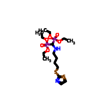 CCOP(=O)(OCC)C(NCCCCSc1nccs1)P(=O)(OCC)OCC